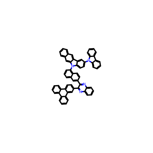 c1ccc2cc3c(cc2c1)c1cc(-n2c4ccccc4c4ccccc42)ccc1n3-c1cccc2cc(-c3nc4ccccc4nc3-c3ccc4c5ccccc5c5ccccc5c4c3)ccc12